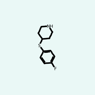 Fc1ccc(SC2CCNCC2)cc1